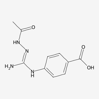 CC(=O)NN=C(N)Nc1ccc(C(=O)O)cc1